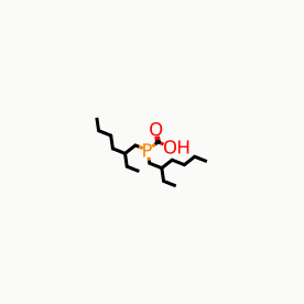 CCCCC(CC)CP(CC(CC)CCCC)C(=O)O